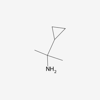 CC(C)(N)C1CC1